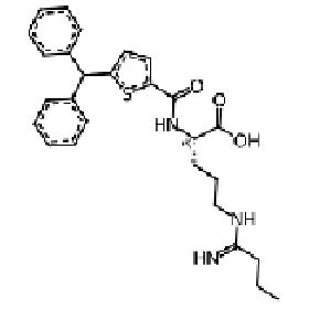 CCCC(=N)NCCC[C@H](NC(=O)c1ccc(C(c2ccccc2)c2ccccc2)s1)C(=O)O